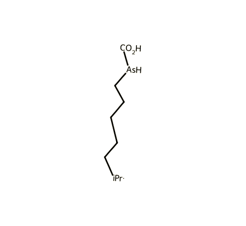 C[C](C)CCCCC[AsH]C(=O)O